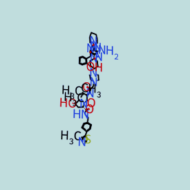 Cc1ncsc1-c1ccc(CNC(=O)[C@@H]2C[C@@H](O)CN2C(=O)/C(=N/C(=O)CN2CCN([C@H]3CC[C@H](c4cnc(N5C6CCC5CN(c5cc(-c7ccccc7O)nnc5N)C6)nc4)CC3)CC2)C(C)(C)C)cc1